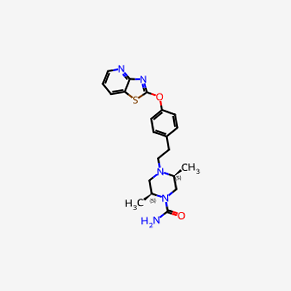 C[C@H]1CN(C(N)=O)[C@@H](C)CN1CCc1ccc(Oc2nc3ncccc3s2)cc1